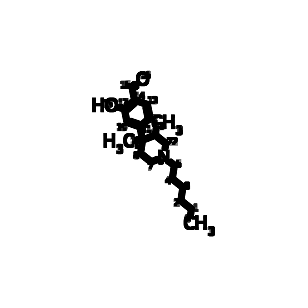 CCCCCCN1CCC(C)(c2ccc(C=O)c(O)c2)C(C)C1